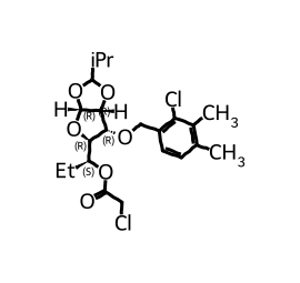 CC[C@H](OC(=O)CCl)[C@H]1O[C@@H]2OC(C(C)C)O[C@@H]2[C@@H]1OCc1ccc(C)c(C)c1Cl